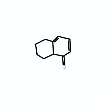 O=C1C=CC=C2C[C]CCC12